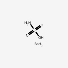 NS(=O)(=O)O.[BaH2]